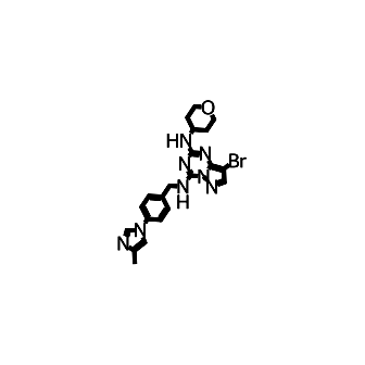 Cc1cn(-c2ccc(CNc3nc(NC4CCOCC4)nc4c(Br)cnn34)cc2)cn1